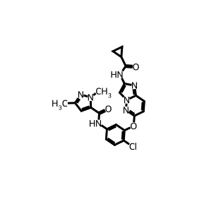 Cc1cc(C(=O)Nc2ccc(Cl)c(Oc3ccc4nc(NC(=O)C5CC5)cn4n3)c2)n(C)n1